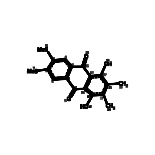 CSc1cc2c(cc1SC)C(=O)c1c(O)c(C)c(C)c(O)c1C2=O